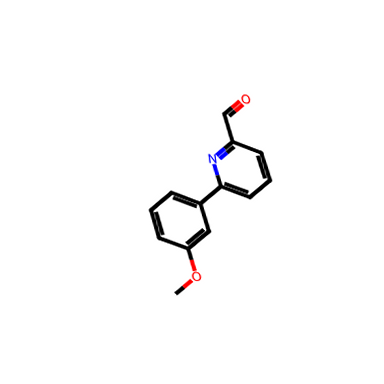 COc1cccc(-c2cccc(C=O)n2)c1